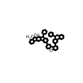 CC1(C)c2ccccc2-c2cc3c(cc21)C(c1ccccc1)c1ccc(-c2ccc4oc5cccc(-c6ccc7c(c6)-c6ccccc6CC7c6ccccc6)c5c4c2)cc1-3